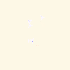 CN(C)C(=O)c1cnn2ccc(CNC(=O)c3ccccc3)cc12